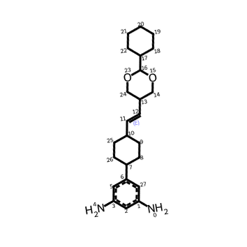 Nc1cc(N)cc(C2CCC(/C=C/C3COC(C4CCCCC4)OC3)CC2)c1